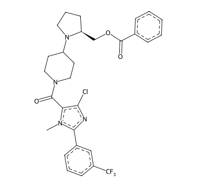 Cn1c(-c2cccc(C(F)(F)F)c2)nc(Cl)c1C(=O)N1CCC(N2CCC[C@H]2COC(=O)c2ccccc2)CC1